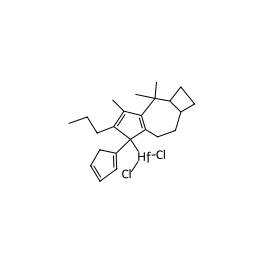 CCCC1=C(C)C2=C(CCC3CCC3C2(C)C)[C]1(C1=CC=CC1)[Hf]([Cl])[Cl]